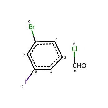 Brc1cccc(I)c1.O=CCl